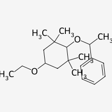 CCOC1CC(C)(C)C(OC(C)c2ccccc2)C(C)(C)C1